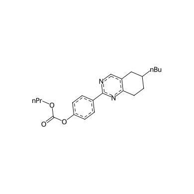 CCCCC1CCc2nc(-c3ccc(OC(=O)OCCC)cc3)ncc2C1